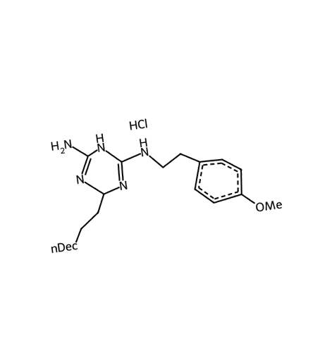 CCCCCCCCCCCCC1N=C(N)NC(NCCc2ccc(OC)cc2)=N1.Cl